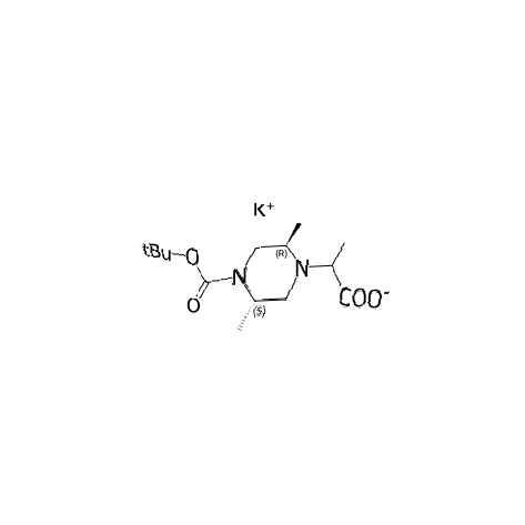 CC(C(=O)[O-])N1C[C@H](C)N(C(=O)OC(C)(C)C)C[C@H]1C.[K+]